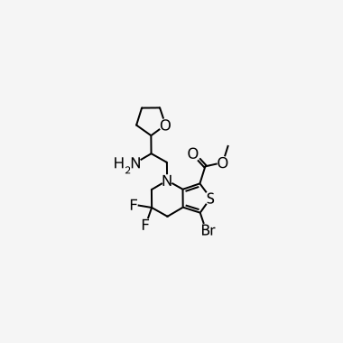 COC(=O)c1sc(Br)c2c1N(CC(N)C1CCCO1)CC(F)(F)C2